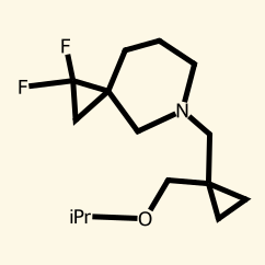 CC(C)OCC1(CN2CCCC3(C2)CC3(F)F)CC1